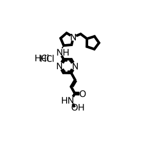 Cl.Cl.O=C(/C=C/c1cnc(N[C@@H]2CCN(CC3CCCC3)C2)cn1)NO